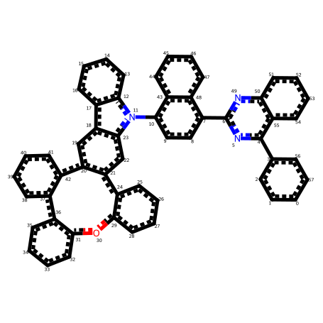 c1ccc(-c2nc(-c3ccc(-n4c5ccccc5c5cc6c(cc54)c4ccccc4oc4ccccc4c4ccccc46)c4ccccc34)nc3ccccc23)cc1